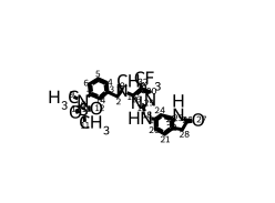 CN(Cc1cccc(N(C)S(C)(=O)=O)c1)c1nc(Nc2ccc3c(c2)NC(=O)C3)ncc1C(F)(F)F